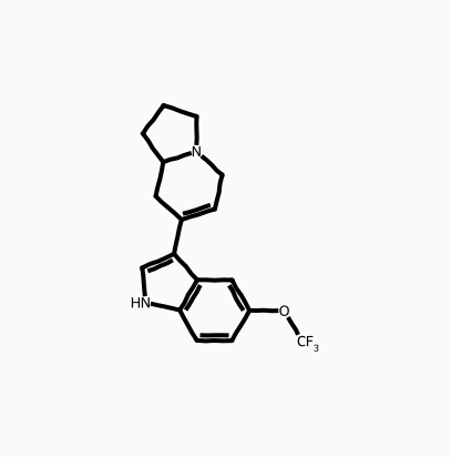 FC(F)(F)Oc1ccc2[nH]cc(C3=CCN4CCCC4C3)c2c1